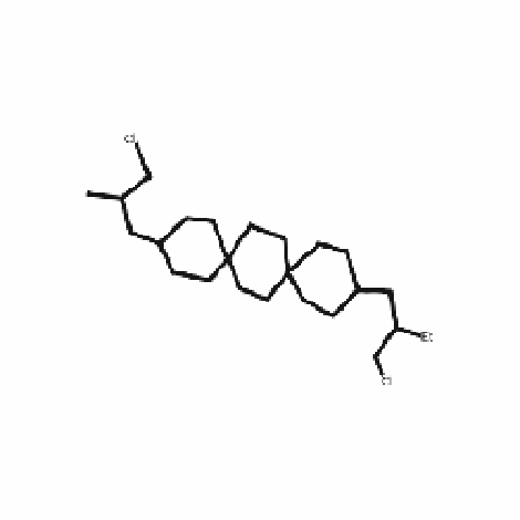 CCC(CCl)CC1CCC2(CC1)CCC1(CCC(CC(C)CCl)CC1)CC2